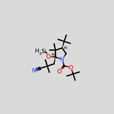 CC(C)(C#N)C[C@]1(O[SiH3])N(C(=O)OC(C)(C)C)C[C@H](C(C)(C)C)C1(C)C